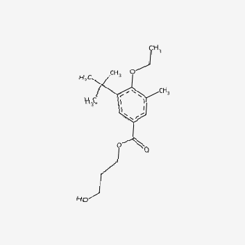 CCOc1c(C)cc(C(=O)OCCCO)cc1C(C)(C)C